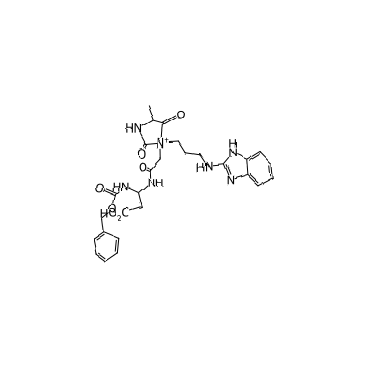 CC1NC(=O)[N+](CCCNc2nc3ccccc3[nH]2)(CC(=O)NC(CC(=O)O)NC(=O)OCc2ccccc2)C1=O